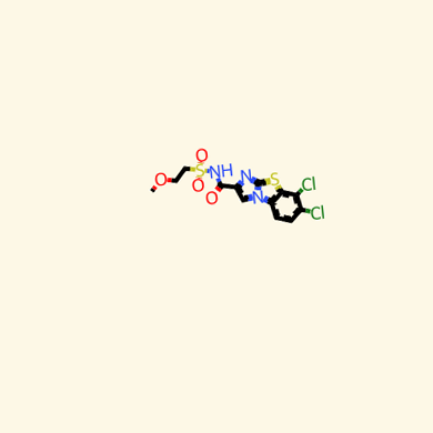 COCCS(=O)(=O)NC(=O)c1cn2c(n1)sc1c(Cl)c(Cl)ccc12